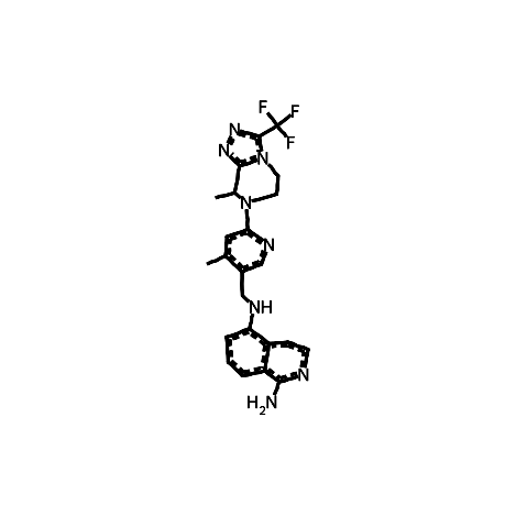 Cc1cc(N2CCn3c(nnc3C(F)(F)F)C2C)ncc1CNc1cccc2c(N)nccc12